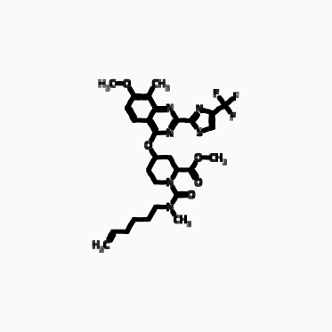 C=CCCCCN(C)C(=O)N1CCC(Oc2nc(-c3nc(C(F)(F)F)cs3)nc3c(C)c(OC)ccc23)CC1C(=O)OC